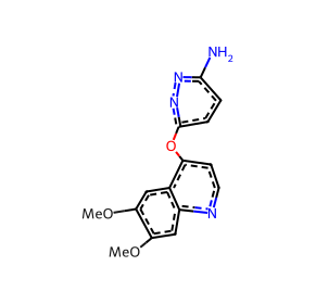 COc1cc2nccc(Oc3ccc(N)nn3)c2cc1OC